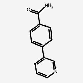 NC(=O)c1ccc(-c2cccnc2)cc1